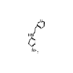 Nc1ccc(NCCc2cccnc2)cc1